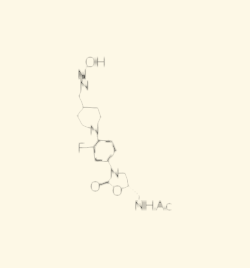 CC(=O)NC[C@H]1CN(c2ccc(N3CCC(CN=NO)CC3)c(F)c2)C(=O)O1